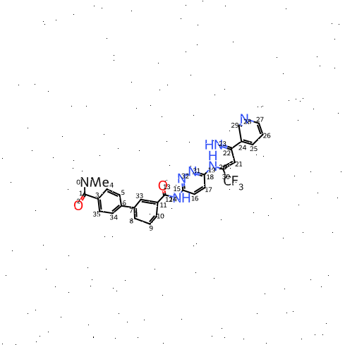 CNC(=O)c1ccc(-c2cccc(C(=O)Nc3ccc(N/C(=C\C(=N)c4cccnc4)C(F)(F)F)nn3)c2)cc1